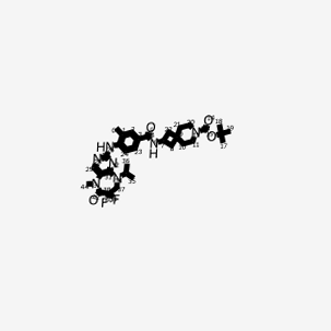 Cc1cc(C(=O)NC2CC3(CCN(C(=O)OC(C)(C)C)CC3)C2)ccc1Nc1ncc2c(n1)N(C(C)C)CC(F)(F)C(=O)N2C